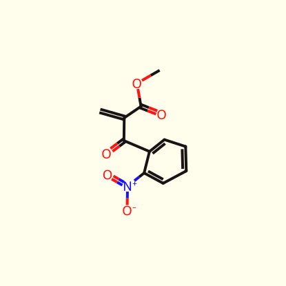 C=C(C(=O)OC)C(=O)c1ccccc1[N+](=O)[O-]